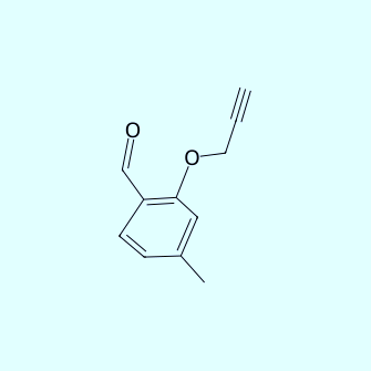 C#CCOc1cc(C)ccc1C=O